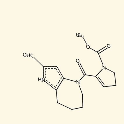 CC(C)(C)OC(=O)N1CCC=C1C(=O)N1CCCCc2[nH]c(C=O)cc21